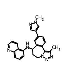 Cc1nnn2c1-c1ccc(-c3cnn(C)c3)cc1C(Nc1cccc3ncccc13)CC2